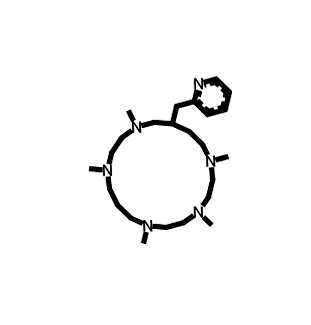 CN1CCCN(C)CCN(C)CC(Cc2ccccn2)CCN(C)CCN(C)CC1